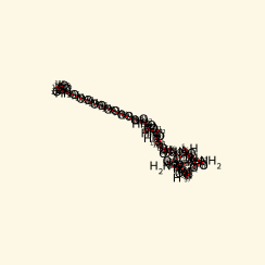 CCn1nc(C)cc1C(=O)/N=c1\[nH]c2cc(C(N)=O)cc(OC)c2n1C/C=C/Cn1/c(=N/C(=O)c2cc(C)nn2CC)[nH]c2cc(C(N)=O)cc(OCCCN3CCN(C(=O)OCc4ccc(NC(=O)[C@@H](NC(=O)[C@@H]5CCCN5C(=O)[C@H](C)NC(=O)CCOCCOCCOCCOCCOCCOCCOCCOCCOCCOCCNC(=O)CN5C(=O)CC(C)C5=O)C(C)C)cc4)CC3)c21